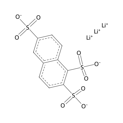 O=S(=O)([O-])c1ccc2c(S(=O)(=O)[O-])c(S(=O)(=O)[O-])ccc2c1.[Li+].[Li+].[Li+]